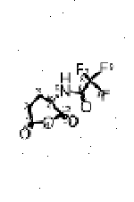 O=C1CC[C@H](NC(=O)C(F)(F)F)C(=O)O1